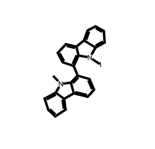 Cn1c2ccccc2c2cccc(-c3cccc4c5ccccc5n(I)c34)c21